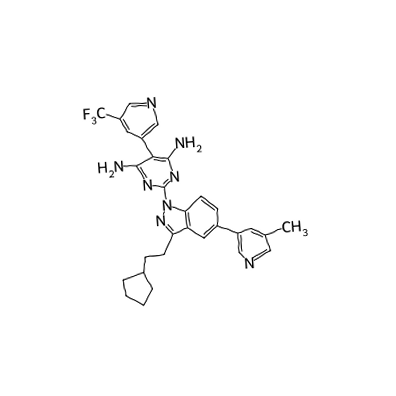 Cc1cncc(-c2ccc3c(c2)c(CCC2CCCC2)nn3-c2nc(N)c(-c3cncc(C(F)(F)F)c3)c(N)n2)c1